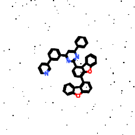 c1ccc(-c2cc(-c3cccc(-c4cccnc4)c3)nc(-c3ccc(-c4cccc5oc6ccccc6c45)c4oc5ccccc5c34)n2)cc1